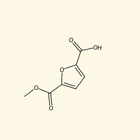 COC(=O)c1ccc(C(=O)O)o1